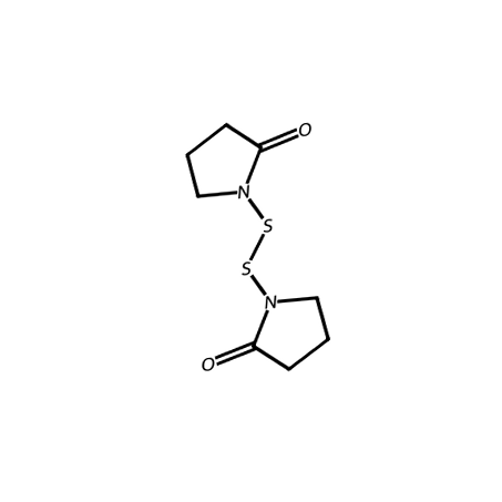 O=C1CCCN1SSN1CCCC1=O